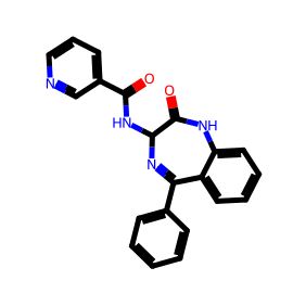 O=C(NC1N=C(c2ccccc2)c2ccccc2NC1=O)c1cccnc1